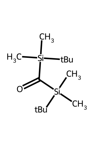 CC(C)(C)[Si](C)(C)C(=O)[Si](C)(C)C(C)(C)C